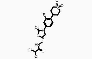 O=C(NC[C@H]1CN(c2ccc(C3CCS(=O)(=O)CC3)c(F)c2)C(=O)O1)C(Cl)Cl